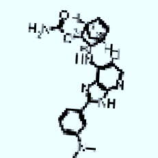 CN(C)c1cccc(-c2nc3c(N[C@H]4[C@@H](OC(N)=O)[C@@H]5C=C[C@H]4C5)c(Cl)cnc3[nH]2)c1